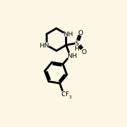 O=[SH](=O)C1(Nc2cccc(C(F)(F)F)c2)CNCCN1